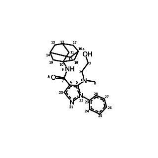 CN(CCO)c1c(C(=O)NC23CC4CC(CC(C4)C2)C3)cnn1-c1ccccc1